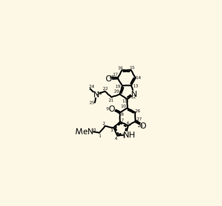 CNCCc1c[nH]c2c1C(=O)C(C1=NC3=CC=CC(=O)C3=C1CCN(C)C)=CC2=O